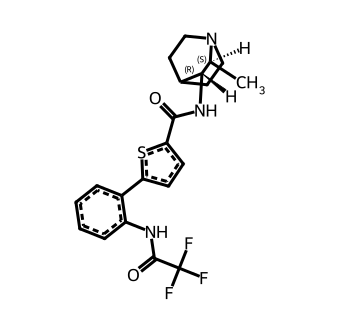 C[C@H]1[C@H](NC(=O)c2ccc(-c3ccccc3NC(=O)C(F)(F)F)s2)C2CCN1CC2